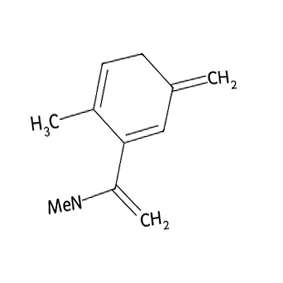 C=C1C=C(C(=C)NC)C(C)=CC1